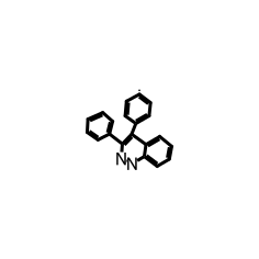 [c]1ccc(-c2c(-c3ccccc3)nnc3ccccc23)cc1